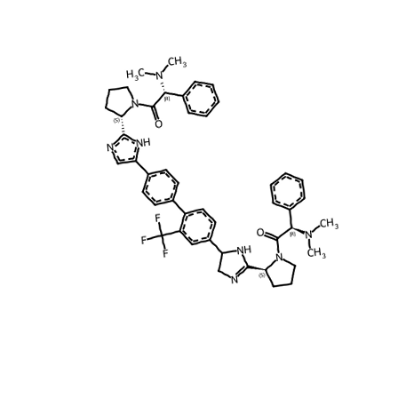 CN(C)[C@@H](C(=O)N1CCC[C@H]1C1=NCC(c2ccc(-c3ccc(-c4cnc([C@@H]5CCCN5C(=O)[C@@H](c5ccccc5)N(C)C)[nH]4)cc3)c(C(F)(F)F)c2)N1)c1ccccc1